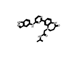 CC(C)NC(=O)CN1CCC(=O)Nc2ccc(-c3nccc(Nc4ccc5[nH]ncc5c4)n3)cc21